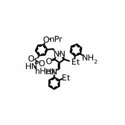 CCCCCCNS(=O)(=O)c1ccc(OCCC)c(CN2N=C(C)C(=CNc3ccccc3CC)C2=O)c1.CCc1ccccc1N